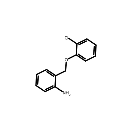 Nc1ccccc1COc1ccccc1Cl